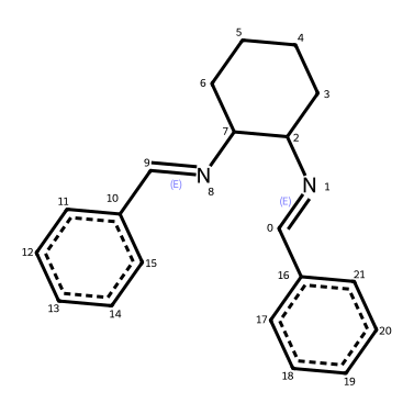 C(=N\C1CCCCC1/N=C/c1ccccc1)/c1ccccc1